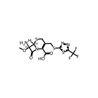 CO[C@@]1(N)C(=O)N2C(C(=O)O)=C(CSc3nnc(C(F)(F)F)s3)CS[C@H]21